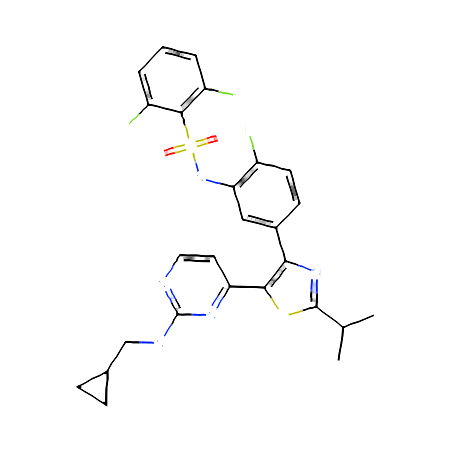 CC(C)c1nc(-c2ccc(F)c(NS(=O)(=O)c3c(F)cccc3F)c2)c(-c2ccnc(NCC3CC3)n2)s1